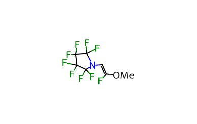 COC(F)=CN1C(F)(F)C(F)(F)C(F)(F)C1(F)F